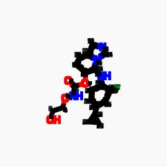 O=C(NOCCO)Oc1ccc2cncn2c1Nc1ccc(C2CC2)cc1F